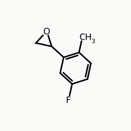 Cc1ccc(F)cc1C1CO1